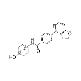 O=C(NC12CCC(O)(CC1)CC2)c1ccc(-c2nccc3occc23)cc1